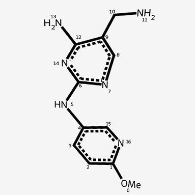 COc1ccc(Nc2ncc(CN)c(N)n2)cn1